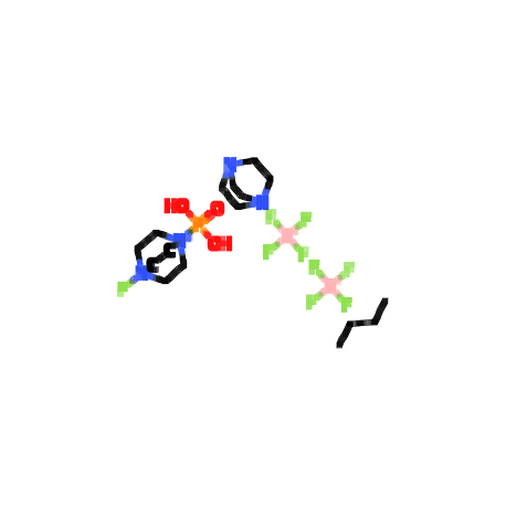 C1CN2CCN1CC2.CCCC.F[B-](F)(F)F.F[B-](F)(F)F.O=P(O)(O)[N+]12CC[N+](F)(CC1)CC2